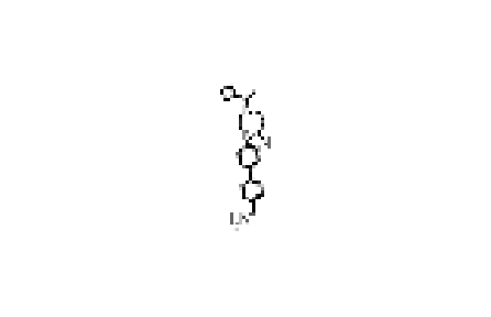 CC(C1CCC1)N1CCc2nc3cc(-c4ccc(CN)cc4)ccc3n2CC1